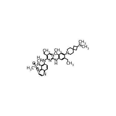 C=Cc1cnc(Nc2cc(CC)c(N3CCC4(CC3)CC(N(C)C)C4)cc2OC)nc1Nc1ccc2nccnc2c1N(C)S(C)(=O)=O